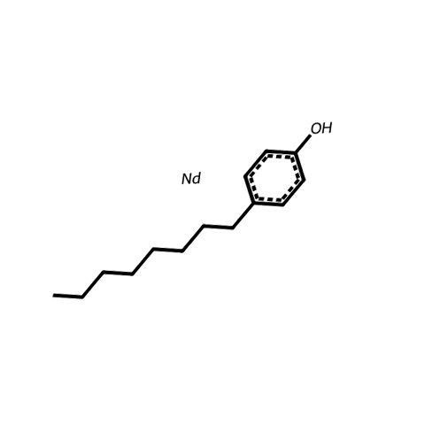 CCCCCCCCc1ccc(O)cc1.[Nd]